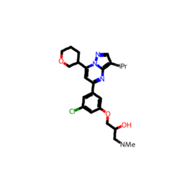 CNCC(O)COc1cc(Cl)cc(-c2cc(C3CCCOC3)n3ncc(C(C)C)c3n2)c1